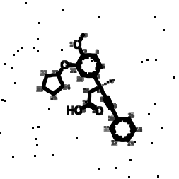 COc1ccc([C@@](C)(C#Cc2ccccc2)CC(=O)O)cc1OC1CCCC1